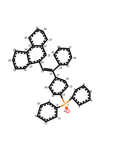 O=P(c1ccccc1)(c1ccccc1)c1ccc(/C(=C/c2cc3ccccc3c3ccccc23)c2ccccc2)cc1